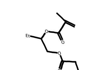 C=C(C)C(=O)OC(CC)COC(=O)CC(F)(F)F